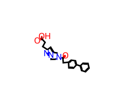 O=C(O)CCc1cc2n(n1)CCN(C(=O)Cc1ccc(-c3ccccc3)cc1)C2